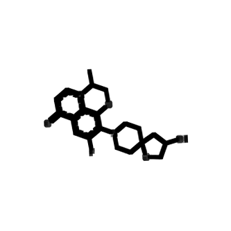 CC1COc2c(N3CCC4(CC3)CC(O)CO4)c(F)cc3c(=O)ccn1c23